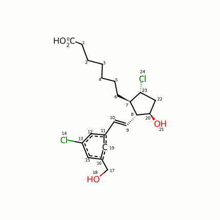 O=C(O)CCCCCC[C@@H]1[C@@H](/C=C/c2cc(Cl)cc(CO)c2)[C@H](O)C[C@H]1Cl